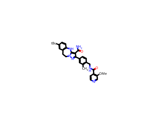 COc1cnccc1C(=O)NCc1ccc(-c2nn3c(c2C(N)=O)Nc2ccc(C(C)(C)C)cc2CC3)cc1C